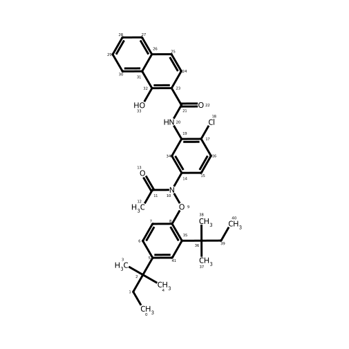 CCC(C)(C)c1ccc(ON(C(C)=O)c2ccc(Cl)c(NC(=O)c3ccc4ccccc4c3O)c2)c(C(C)(C)CC)c1